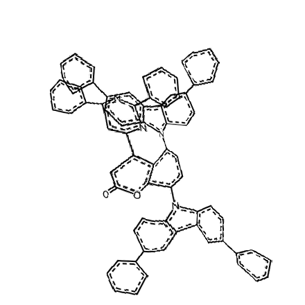 O=c1cc(-c2cc(-c3ccccc3)nc(-c3ccccc3)n2)c2c(-n3c4ccc(-c5ccccc5)cc4c4cc(-c5ccccc5)ccc43)ccc(-n3c4ccc(-c5ccccc5)cc4c4cc(-c5ccccc5)ccc43)c2o1